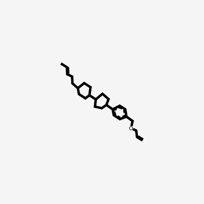 C=CCOCc1ccc(C2CCC(C3CCC(CCC=CC)CC3)CC2)cc1